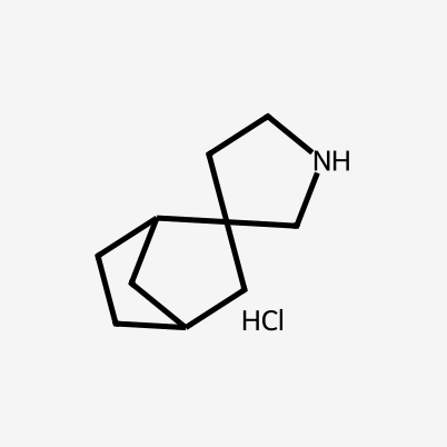 C1CC2(CN1)CC1CCC2C1.Cl